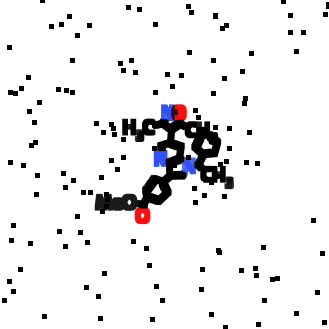 COC(=O)c1ccc(-c2cn(C(C)c3ccccc3)c3cc(-c4c(C)noc4C)cnc23)cc1